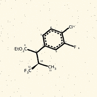 CCOC(=O)C(c1ccc(Cl)c(F)c1)[C@@H](C)C(F)(F)F